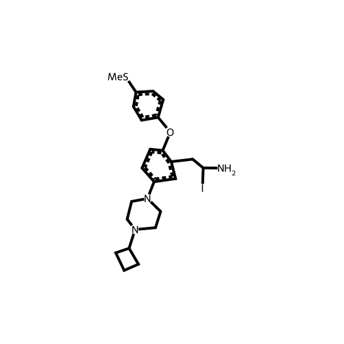 CSc1ccc(Oc2ccc(N3CCN(C4CCC4)CC3)cc2CC(N)I)cc1